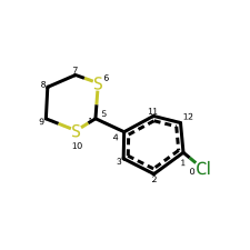 Clc1ccc([C]2SCCCS2)cc1